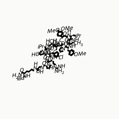 CCC(C)NC(CCCCNC(=O)CNC(=O)[C@@H]1CCCN1C(=O)[C@H](CCCNC(=N)N)NC(=O)[C@H](Cc1ccc(Cl)cc1)NC(=O)[C@@H]1C[C@@H](O)CN1C(=O)[C@@H](NC(=O)[C@H](C)NC(=O)[C@H](CC(=O)O)NC(=O)[C@@H]1CCCN1C(=O)[C@H](Cc1ccc(OC)cc1)NC(=O)[C@H](C)NC(=O)[C@H](CC(C)C)NC(=O)c1oc2c(OC)c(OC)ccc2c1C)C(C)C)C(N)=O